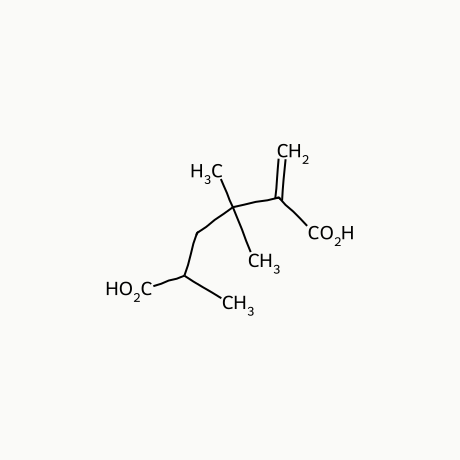 C=C(C(=O)O)C(C)(C)CC(C)C(=O)O